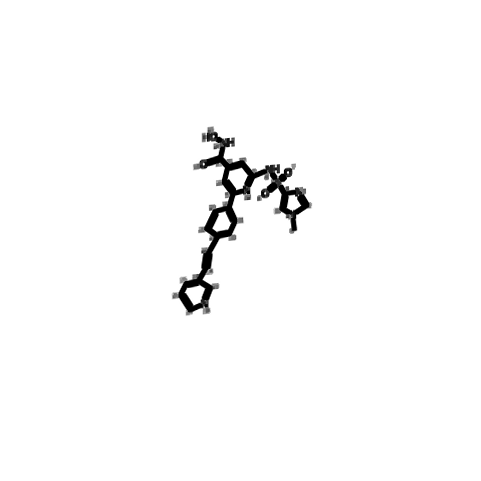 Cn1cnc(S(=O)(=O)Nc2cc(C(=O)NO)cc(-c3ccc(C#Cc4cccnc4)cc3)n2)c1